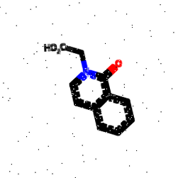 O=C(O)Cn1ccc2ccccc2c1=O